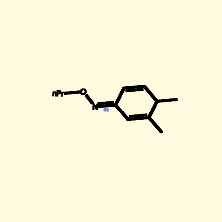 CCCO/N=C1\C=CC(C)C(C)=C1